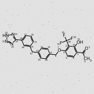 CC(=O)c1ccc(OCc2ccc(Cc3cccc(-c4nn[nH]n4)c3)cc2)c(C(F)(F)F)c1O